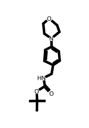 CC(C)(C)OC(=O)NCc1ccc(N2CCOCC2)cc1